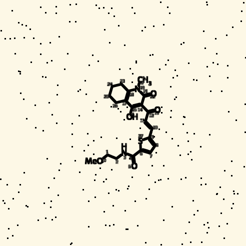 COCCNC(=O)c1ccc(/C=C/C(=O)c2c(O)c3c(n(C)c2=O)CCCC3)s1